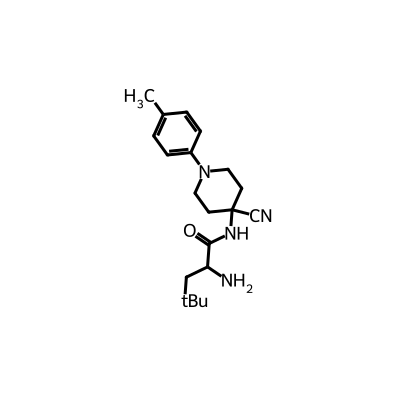 Cc1ccc(N2CCC(C#N)(NC(=O)C(N)CC(C)(C)C)CC2)cc1